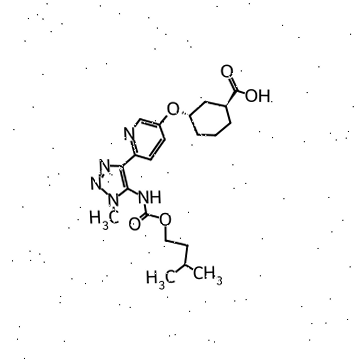 CC(C)CCOC(=O)Nc1c(-c2ccc(O[C@H]3CCC[C@H](C(=O)O)C3)cn2)nnn1C